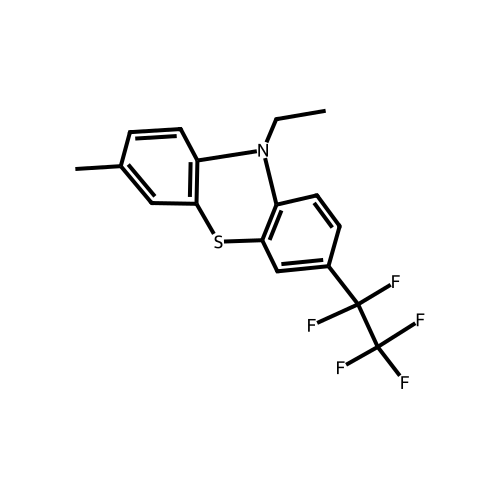 CCN1c2ccc(C)cc2Sc2cc(C(F)(F)C(F)(F)F)ccc21